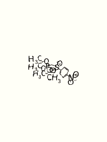 CC(C)OP(=O)(CS(=O)(=O)c1ccc([N+](=O)[O-])cc1)OC(C)C